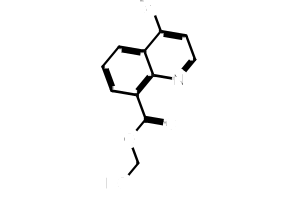 CCOC(=O)c1cccc2c(Br)ccnc12